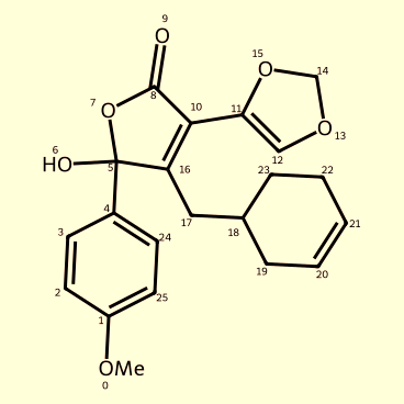 COc1ccc(C2(O)OC(=O)C(C3=COCO3)=C2CC2CC=CCC2)cc1